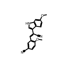 COc1ccc2c(C(C#N)=Cc3cc(C#N)ccc3OC)c[nH]c2c1